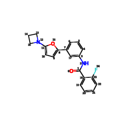 O=C(Nc1cccc(-c2ccc(N3CCC3)o2)c1)c1ccccc1F